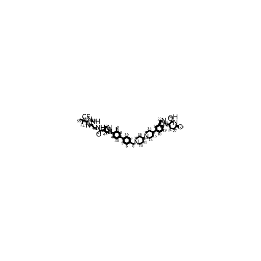 Cc1cc(-c2ccc(CN3CCC(N4CCC(c5ccc6c(cnn6C6CCC(=O)NC6=O)c5)CC4)CC3)cc2)ccc1-n1cc(C(=O)NCc2nc(C(C)(C)C(F)(F)F)n[nH]2)cn1